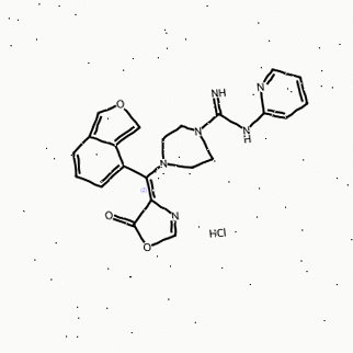 Cl.N=C(Nc1ccccn1)N1CCN(/C(=C2\N=COC2=O)c2cccc3cocc23)CC1